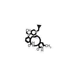 CCN(c1cccc2c1C/C=C/CCc1cc(C)[nH]c(=O)c1CNC2=O)C1CCN(CC2CC2)CC1